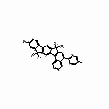 Cc1ccc(-c2cc3c(c4ccccc24)-c2cc4c(cc2C3(C)C)-c2ccc(Br)cc2C4(C)C)cc1